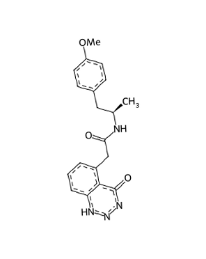 COc1ccc(C[C@@H](C)NC(=O)Cc2cccc3[nH]nnc(=O)c23)cc1